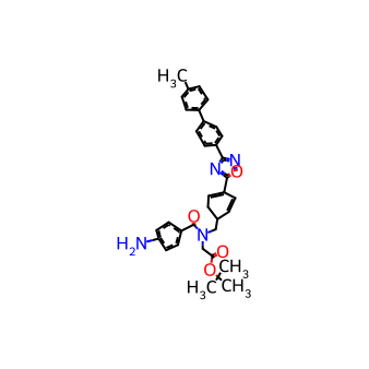 Cc1ccc(-c2ccc(-c3noc(C4=CCC(CN(CC(=O)OC(C)(C)C)C(=O)c5ccc(N)cc5)C=C4)n3)cc2)cc1